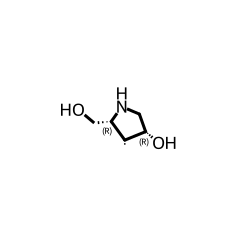 OC[C@H]1[CH][C@@H](O)CN1